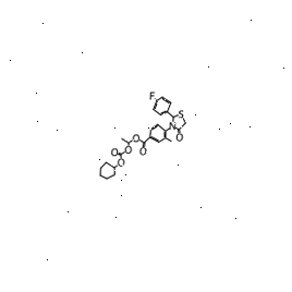 Cc1cc(C(=O)OC(C)OC(=O)OC2CCCCC2)ccc1N1C(=O)CSC1c1ccc(F)cc1